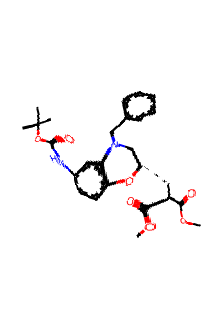 COC(=O)C(C[C@H]1CN(Cc2ccccc2)c2cc(NC(=O)OC(C)(C)C)ccc2O1)C(=O)OC